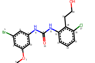 COc1cc(Br)cc(NC(=O)Nc2cccc(Cl)c2CCO)c1